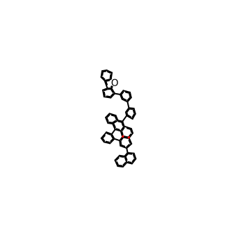 c1cc(-c2ccccc2-c2c3ccccc3c(-c3cccc(-c4cccc(-c5cccc6c5oc5ccccc56)c4)c3)c3ccccc23)cc(-c2cccc3ccccc23)c1